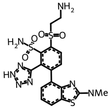 CNc1nc2c(-c3ccc(S(=O)(=O)CCN)c(S(N)(=O)=O)c3-c3nn[nH]n3)cccc2s1